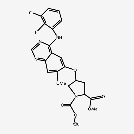 COC(=O)C1CC(Oc2cc3c(Nc4cccc(Cl)c4F)ncnc3cc2OC)CN1C(=O)OC(C)(C)C